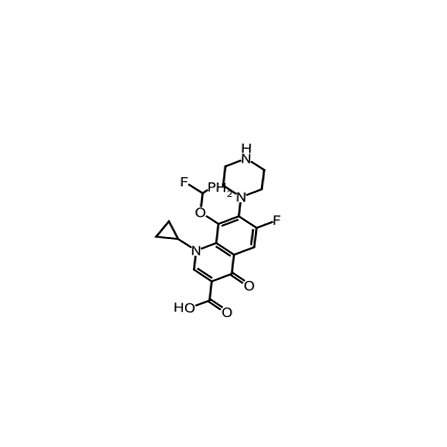 O=C(O)c1cn(C2CC2)c2c(OC(F)P)c(N3CCNCC3)c(F)cc2c1=O